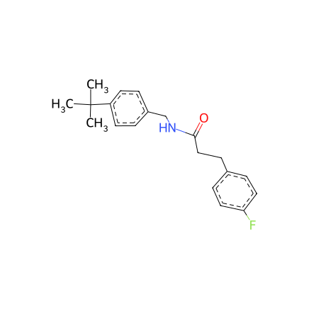 CC(C)(C)c1ccc(CNC(=O)CCc2ccc(F)cc2)cc1